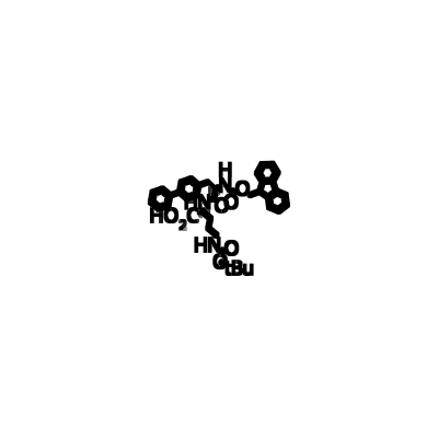 CC(C)(C)OC(=O)NCCC[C@@H](NC(=O)[C@@H](Cc1ccc(-c2ccccc2)cc1)NC(=O)OCC1c2ccccc2-c2ccccc21)C(=O)O